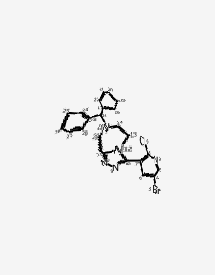 Clc1ncc(Br)cc1-c1nnc2n1CCN(C(c1ccccc1)c1ccccc1)C2